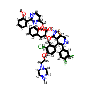 COc1ccccc1-c1nccc(COc2ccccc2CC(Oc2nsc3cnc(-c4ccc(F)c(F)c4)c(-c4ccc(OCCN5CCN(C)CC5)c(Cl)c4C)c23)C(=O)O)n1